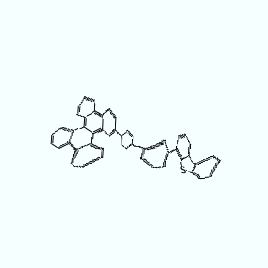 c1cc(-c2ccc(-c3ccc4c5ccccc5c5c6ccccc6c6ccccc6c5c4c3)cc2)cc(-c2cccc3c2sc2ccccc23)c1